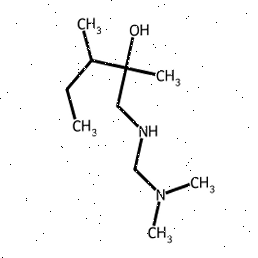 CCC(C)C(C)(O)CNCN(C)C